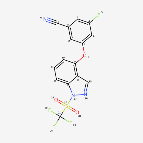 N#Cc1cc(F)cc(Oc2cccc3c2cnn3S(=O)(=O)C(F)(F)F)c1